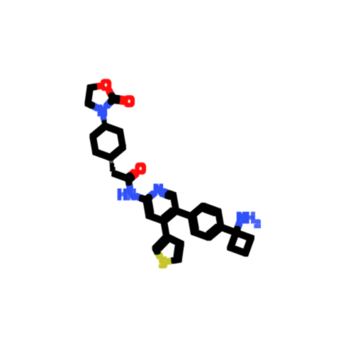 NC1(c2ccc(-c3cnc(NC(=O)C[C@H]4CC[C@H](N5CCOC5=O)CC4)cc3-c3ccsc3)cc2)CCC1